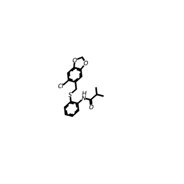 C[C](C)C(=O)Nc1ccccc1SCc1cc2c(cc1Cl)OCO2